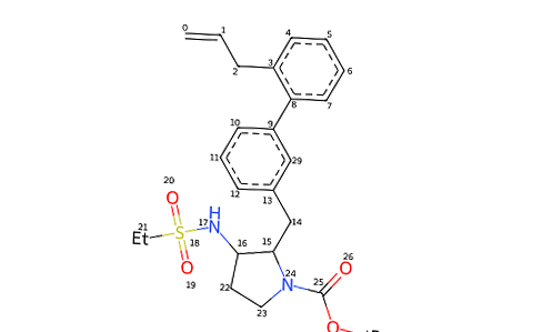 C=CCc1ccccc1-c1cccc(CC2C(NS(=O)(=O)CC)CCN2C(=O)OC(C)(C)C)c1